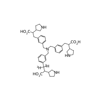 [2H]C([2H])(c1cccc(CN(Cc2cccc(CC(C(=O)O)C3CCNC3)c2)Cc2cccc(CC(C(=O)O)C3CCNC3)c2)c1)C(C(=O)O)C1CCNC1